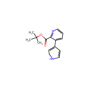 CC(C)(C)OC(=O)c1ncccc1C1=CCNC=C1